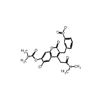 CN(C)C(=O)Cc1c(Cc2cccc([N+](=O)[O-])c2)c(=O)oc2cc(OC(=O)N(C)C)c(Cl)cc12